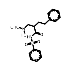 O=CN(O)CC(CCc1ccccc1)C(=O)NS(=O)(=O)c1ccccc1